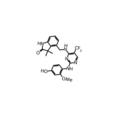 COc1cc(O)ccc1Nc1ncc(C(F)(F)F)c(NCc2cccc3c2C(C)(C)C(=O)N3)n1